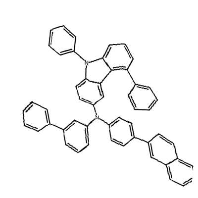 c1ccc(-c2cccc(N(c3ccc(-c4ccc5ccccc5c4)cc3)c3ccc4c(c3)c3c(-c5ccccc5)cccc3n4-c3ccccc3)c2)cc1